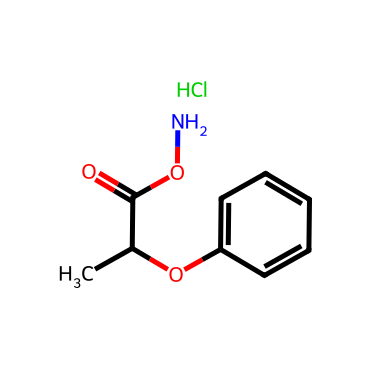 CC(Oc1ccccc1)C(=O)ON.Cl